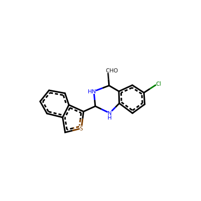 O=CC1NC(c2scc3ccccc23)Nc2ccc(Cl)cc21